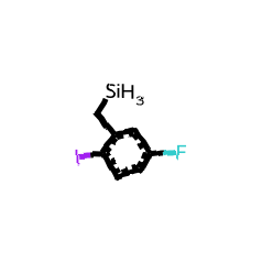 Fc1ccc(I)c(C[SiH3])c1